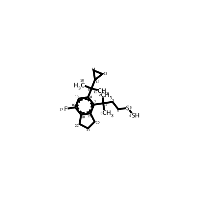 CC(C)(CCSS)c1c(C(C)(C)C2CC2)cc(F)c2c1CCC2